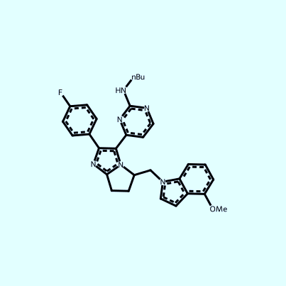 CCCCNc1nccc(-c2c(-c3ccc(F)cc3)nc3n2C(Cn2ccc4c(OC)cccc42)CC3)n1